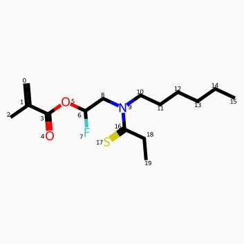 C=C(C)C(=O)OC(F)CN(CCCCCC)C(=S)CC